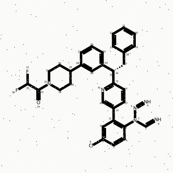 N=CN(N=N)c1ccc(Cl)cc1-c1ccc([C@@H](Cc2ccccc2)c2cccc(C3CCN(C(=O)C(F)F)CC3)c2)nc1